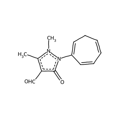 Cc1c(C=O)c(=O)n(C2=CCC=CC=C2)n1C